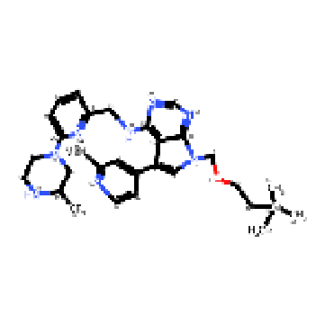 CNc1cc(-c2cn(COCC[Si](C)(C)C)c3ncnc(NCc4cccc(N5CCNC(C(F)(F)F)C5)n4)c23)ccn1